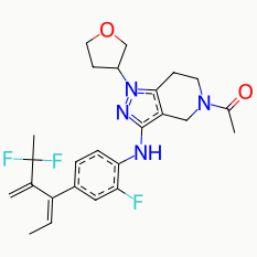 C=C(/C(=C\C)c1ccc(Nc2nn(C3CCOC3)c3c2CN(C(C)=O)CC3)c(F)c1)C(C)(F)F